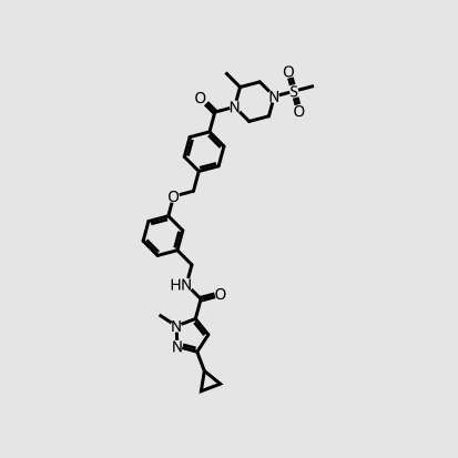 CC1CN(S(C)(=O)=O)CCN1C(=O)c1ccc(COc2cccc(CNC(=O)c3cc(C4CC4)nn3C)c2)cc1